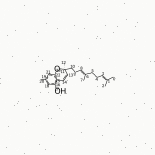 CC(C)=CCC/C(C)=C/CC[C@@]1(C)C=Cc2c(O)cc(C)cc2O1